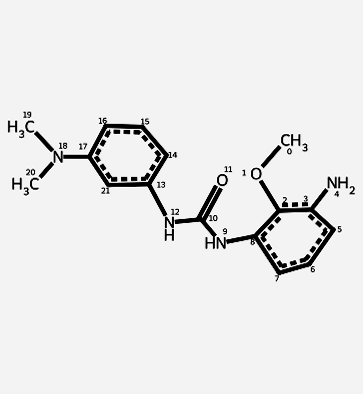 COc1c(N)cccc1NC(=O)Nc1cccc(N(C)C)c1